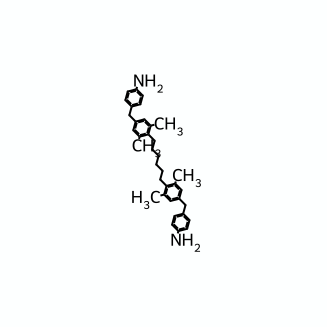 Cc1cc(Cc2ccc(N)cc2)cc(C)c1CCCCCCc1c(C)cc(Cc2ccc(N)cc2)cc1C